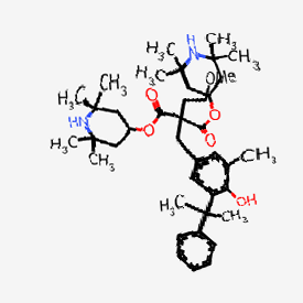 COCCC(Cc1cc(C)c(O)c(C(C)(C)c2ccccc2)c1)(C(=O)OC1CC(C)(C)NC(C)(C)C1)C(=O)OC1CC(C)(C)NC(C)(C)C1